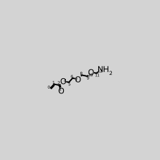 C=CC(=O)OCCOCCOCN